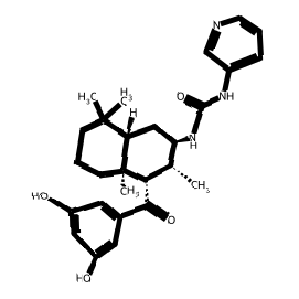 C[C@H]1[C@H](NC(=O)Nc2cccnc2)C[C@H]2C(C)(C)CCC[C@]2(C)[C@H]1C(=O)c1cc(O)cc(O)c1